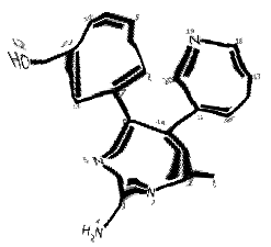 Cc1nc(N)nc(-c2cccc(O)c2)c1-c1cccnc1